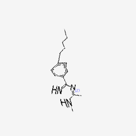 CCCCCc1ccc(C(=N)/N=C(/C)NC)cc1